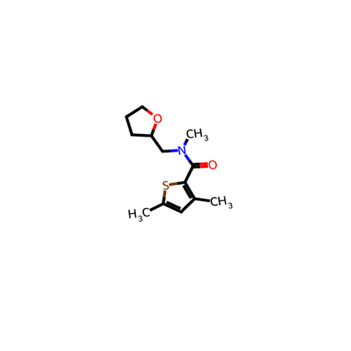 Cc1cc(C)c(C(=O)N(C)CC2CCCO2)s1